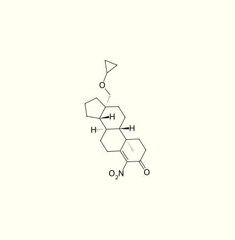 C[C@]12CCC(=O)C([N+](=O)[O-])=C1CC[C@H]1[C@@H]3CCC[C@@]3(COC3CC3)CC[C@@H]12